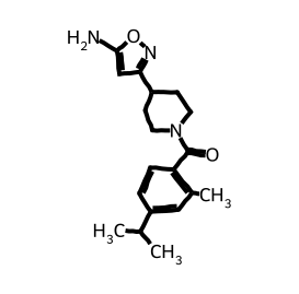 Cc1cc(C(C)C)ccc1C(=O)N1CCC(c2cc(N)on2)CC1